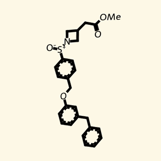 COC(=O)CC1CN([S+]([O-])c2ccc(COc3cccc(Cc4ccccc4)c3)cc2)C1